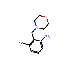 Nc1cccc(C(F)(F)F)c1CN1CCOCC1